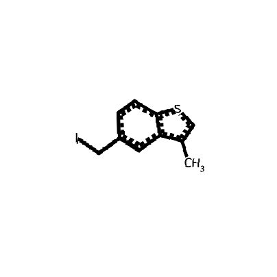 Cc1csc2ccc(CI)cc12